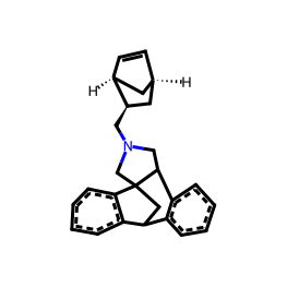 C1=C[C@H]2C[C@@H]1C[C@H]2CN1CC2c3ccccc3C3CC2(C1)c1ccccc13